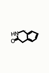 O=C1Cc2ccccc2[CH]N1